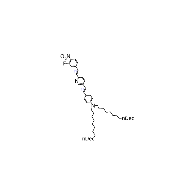 CCCCCCCCCCCCCCCCCCN(CCCCCCCCCCCCCCCCCC)c1ccc(/C=C/c2ccc(/C=C/c3ccc([N+](=O)[O-])c(F)c3)nc2)cc1